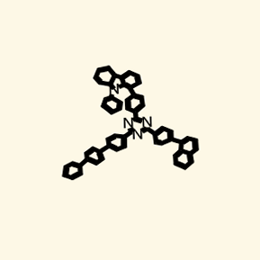 C1=CC2c3cccc(-c4ccc(-c5nc(-c6ccc(-c7ccc(-c8ccccc8)cc7)cc6)nc(-c6ccc(-c7cccc8ccccc78)cc6)n5)cc4)c3N(c3ccccc3)C2C=C1